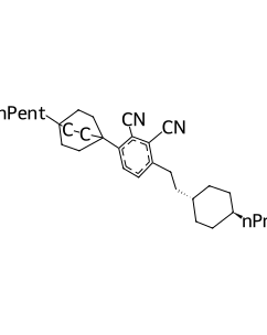 CCCCCC12CCC(c3ccc(CC[C@H]4CC[C@H](CCC)CC4)c(C#N)c3C#N)(CC1)CC2